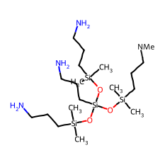 CNCCC[Si](C)(C)O[Si](CCCN)(O[Si](C)(C)CCCN)O[Si](C)(C)CCCN